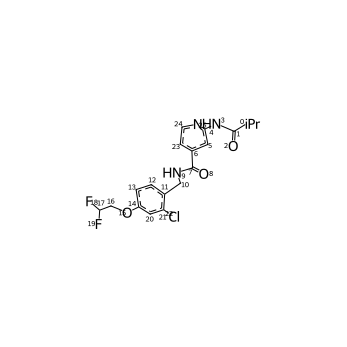 CC(C)C(=O)Nc1cc(C(=O)NCc2ccc(OCC(F)F)cc2Cl)ccn1